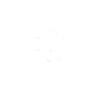 C#CN=S(=O)(F)c1ccccc1.c1cc2cc-2c1